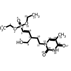 CCOP(=O)(/C=C/[C@H](CO)CCn1cc(C)c(=O)[nH]c1=O)OCC